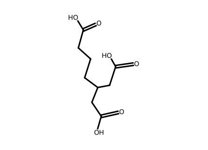 O=C(O)CCCC(CC(=O)O)CC(=O)O